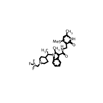 CSc1cc(C)[nH]c(=O)c1CNC(=O)c1c(C)n([C@H](C)C2CCN(C[Si](F)(F)F)CC2)c2ccccc12